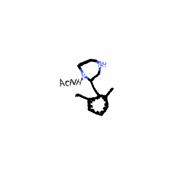 CC(=O)NN1CCNCC1c1c(C)cccc1C